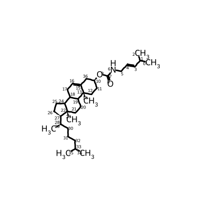 CC(C)/C=C/CNC(=O)O[C@H]1CC[C@@]2(C)C(=CCC3C2CC[C@@]2(C)C3CC[C@@H]2[C@H](C)CCCC(C)C)C1